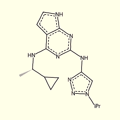 CC(C)n1cc(Nc2nc(N[C@@H](C)C3CC3)c3cc[nH]c3n2)nn1